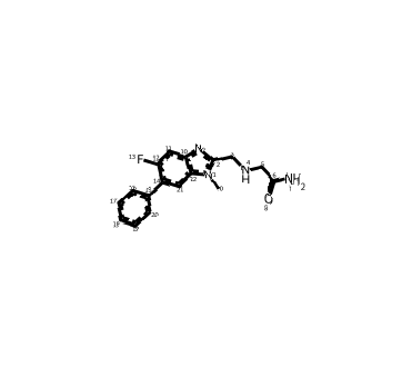 Cn1c(CNCC(N)=O)nc2cc(F)c(-c3ccccc3)cc21